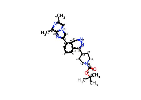 Cc1cn2cc(-c3cccc4c(C5CCN(C(=O)OC(C)(C)C)CC5)nncc34)nc2c(C)n1